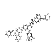 O=C(NS(=O)(=O)c1ccc(NCC2CCOCC2)c([N+](=O)[O-])c1)c1ccc(C2CCC(N(Cc3ccccc3)Cc3ccccc3)CC2)cc1Oc1cnc2[nH]ccc2c1